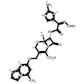 CO/N=C(\C(=O)N[C@@H]1C(=O)N2C(C(=O)O)=C(CSc3cc(C)n4ccnc4n3)CS[C@H]12)c1csc(N)n1